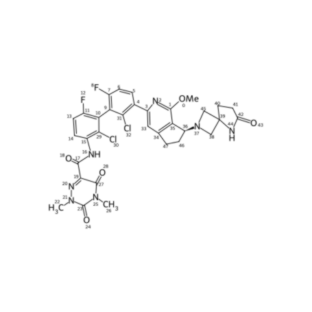 COc1nc(-c2ccc(F)c(-c3c(F)ccc(NC(=O)c4nn(C)c(=O)n(C)c4=O)c3Cl)c2Cl)cc2c1[C@@H](N1CC3(CCC(=O)N3)C1)CC2